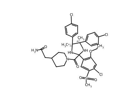 CCOc1cc(Cl)c(S(C)(=O)=O)cc1C1(C(=O)N2CCC(CC(N)=O)CC2)N[C@@](C)(c2ccc(Cl)cc2)[C@@](C)(c2ccc(Cl)cc2)N1